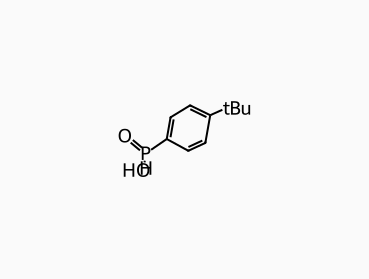 CC(C)(C)c1ccc([PH](=O)O)cc1